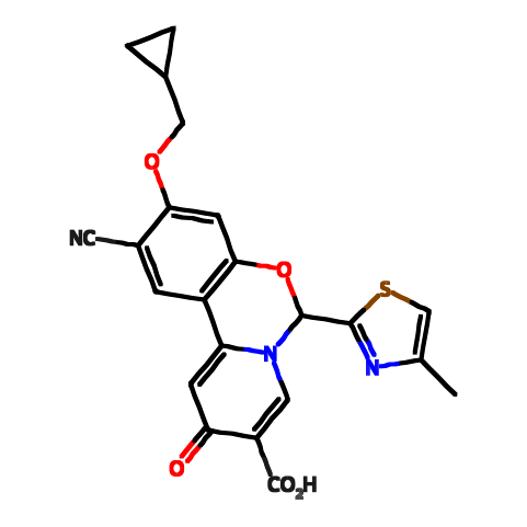 Cc1csc(C2Oc3cc(OCC4CC4)c(C#N)cc3-c3cc(=O)c(C(=O)O)cn32)n1